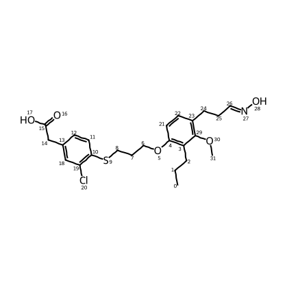 CCCc1c(OCCCSc2ccc(CC(=O)O)cc2Cl)ccc(CCC=NO)c1OC